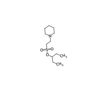 CCC(CC)OS(=O)(=O)CCN1CCCCC1